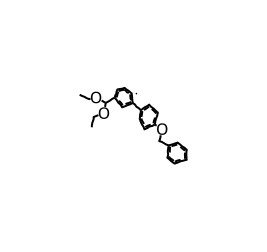 CCOC(OCC)c1cc[c]c(-c2ccc(OCc3ccccc3)cc2)c1